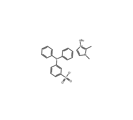 CCCC[n+]1ccn(C)c1C.O=S(=O)([O-])c1cccc(P(c2ccccc2)c2ccccc2)c1